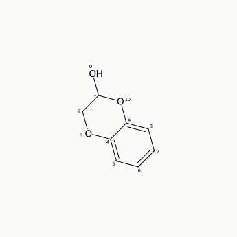 OC1COc2ccccc2O1